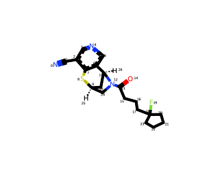 N#Cc1cncc2c1S[C@H]1C[C@@H]2N(C(=O)CCCC2(F)CCCC2)C1